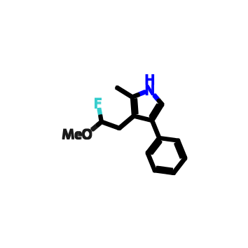 COC(F)Cc1c(-c2ccccc2)c[nH]c1C